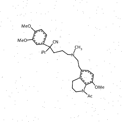 COc1ccc(C(C#N)(CCCN(C)CCc2ccc(OC)c3c2CCCN3C(C)=O)C(C)C)cc1OC